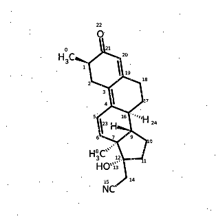 C[C@@H]1CC2=C3C=C[C@@]4(C)[C@@H](CC[C@@]4(O)CC#N)[C@@H]3CCC2=CC1=O